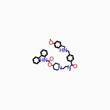 COc1ccc(CNCc2ccc(C(=O)N(C)CCN3CCC(OC(=O)Nc4ccccc4-c4ccccc4)CC3)cc2)cc1